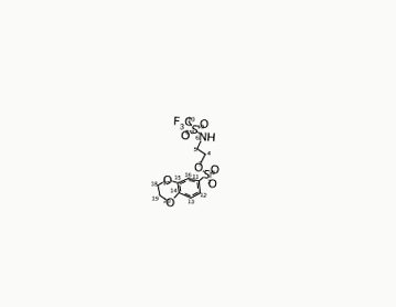 O=S(=O)(OCCNS(=O)(=O)C(F)(F)F)c1ccc2c(c1)OCCO2